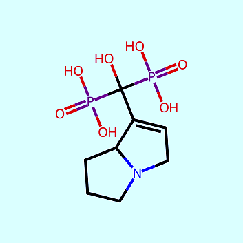 O=P(O)(O)C(O)(C1=CCN2CCCC12)P(=O)(O)O